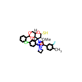 CO[C@H]1[C@@H](S)O[C@@H]2COC(c3ccccc3)O[C@@H]2C1(c1cc(Cl)ccc1C(=O)N1CCC1)n1cc(-c2ccc(C)c(F)c2)nn1